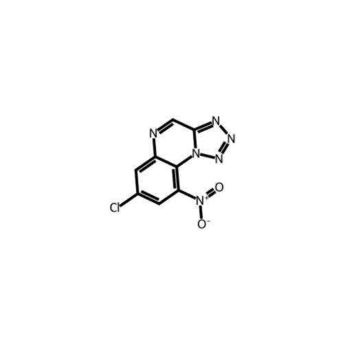 O=[N+]([O-])c1cc(Cl)cc2ncc3nnnn3c12